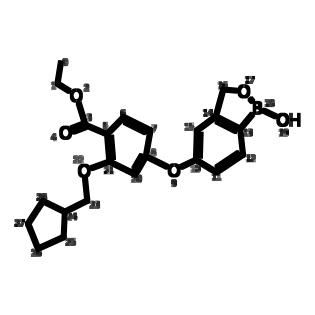 CCOC(=O)c1ccc(Oc2ccc3c(c2)COB3O)cc1OCC1CCCC1